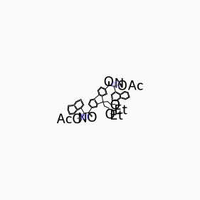 CCOCCC1(CCOCC)c2cc(C(=O)/C(=N/OC(C)=O)c3cccc4ccccc34)ccc2-c2ccc(C(=O)/C(=N/OC(C)=O)c3cccc4ccccc34)cc21